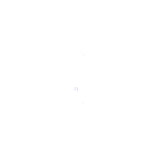 O=c1c2ccccc2c2cc(Br)cc3c4ccccc4n1c23